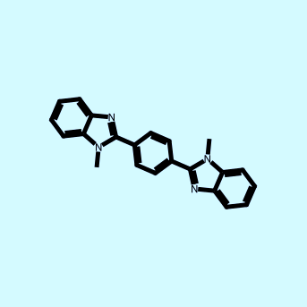 Cn1c(-c2ccc(-c3nc4ccccc4n3C)cc2)nc2ccccc21